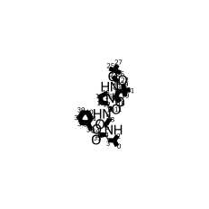 CC(C)C[C@@H](NC(=O)CNC(=O)[C@@H]1CCCN1C(=O)[C@H](NC(=O)OC(C)(C)C)C(C)(C)C)C(=O)OCc1ccccc1